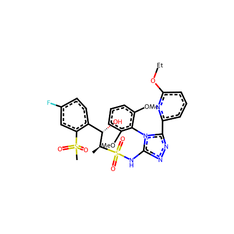 CCOc1cccc(-c2nnc(NS(=O)(=O)[C@@H](C)[C@@H](O)c3ccc(F)cc3S(C)(=O)=O)n2-c2c(OC)cccc2OC)n1